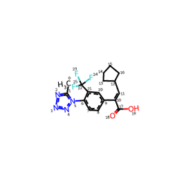 Cc1nnnn1-c1ccc(/C(=C\C2CCCC2)C(=O)O)cc1C(F)(F)F